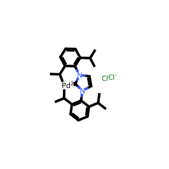 CC(C)c1cccc(C(C)C)c1-n1ccn(-c2c(C(C)C)cccc2C(C)C)[c]1=[Pd+2].[Cl-].[Cl-]